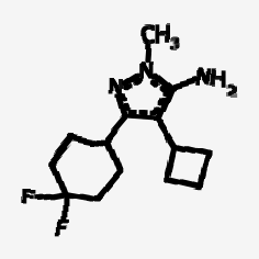 Cn1nc(C2CCC(F)(F)CC2)c(C2CCC2)c1N